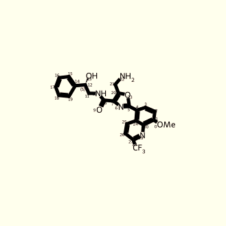 COc1ccc(-c2nc(C(=O)NC[C@@H](O)c3ccccc3)c(CN)o2)c2ccc(C(F)(F)F)nc12